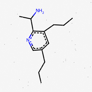 CCCc1cnc(C(C)N)c(CCC)c1